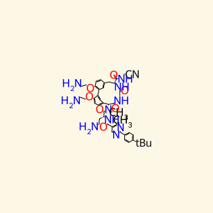 Cc1nc(-c2ccc(C(C)(C)C)cc2)ncc1C(=O)N[C@@H](CCN)C(=O)N(C)[C@@H]1C(=O)NCC(=O)N[C@H](C(=O)NCC#N)Cc2ccc(OCCN)c(c2)-c2cc1ccc2OCCN